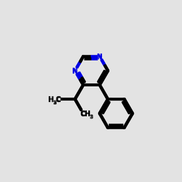 CC(C)c1ncncc1-c1ccccc1